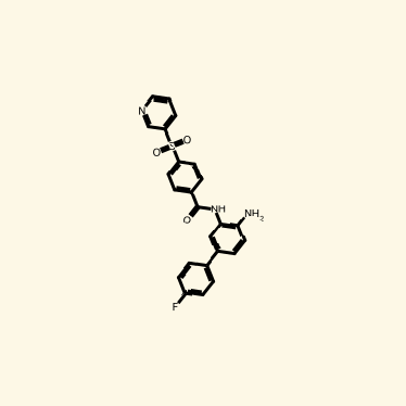 Nc1ccc(-c2ccc(F)cc2)cc1NC(=O)c1ccc(S(=O)(=O)c2cccnc2)cc1